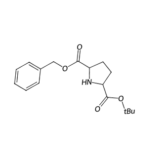 CC(C)(C)OC(=O)C1CCC(C(=O)OCc2ccccc2)N1